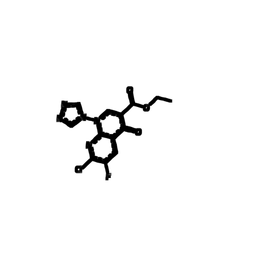 CCOC(=O)c1cn(-n2cnnc2)c2nc(Cl)c(F)cc2c1=O